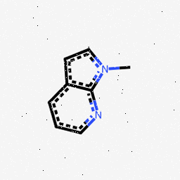 Cn1[c]cc2cccnc21